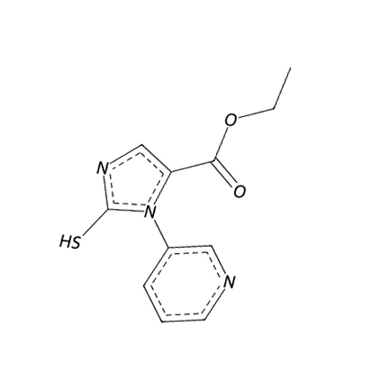 CCOC(=O)c1cnc(S)n1-c1cccnc1